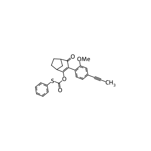 CC#Cc1ccc(C2=C(OC(=O)Sc3ccccc3)C3CCC(C3)C2=O)c(OC)c1